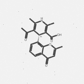 CC(=O)C1=C(C)NC(C)=C(C(=O)O)[C@@H]1c1cccc2c(=O)cc(C)oc12